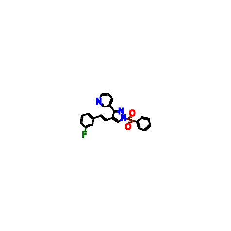 O=S(=O)(c1ccccc1)n1cc(C=Cc2cccc(F)c2)c(-c2cccnc2)n1